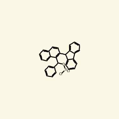 [Cl][Ti]([Cl])[O]C(c1ccccc1)c1c(C2c3ccccc3-c3ccccc32)ccc2ccccc12